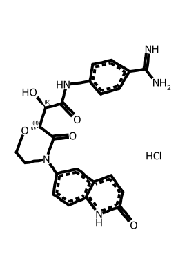 Cl.N=C(N)c1ccc(NC(=O)[C@H](O)[C@H]2OCCN(c3ccc4[nH]c(=O)ccc4c3)C2=O)cc1